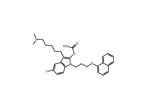 CN(C)CCCCCc1c(OC(=O)O)n(CCCOc2cccc3ccccc23)c2ccc(F)cc12